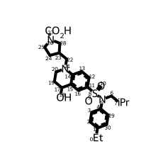 CCc1ccc(N(CC(C)C)S(=O)(=O)c2ccc3c(c2)C(O)CCN3CC2CCN(C(=O)O)C2)cc1